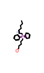 CCCC/C=C\C[PH](CCCCC=O)(c1ccccc1)c1ccccc1